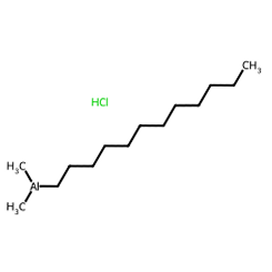 CCCCCCCCCCC[CH2][Al]([CH3])[CH3].Cl